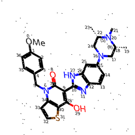 COc1ccc(Cn2c(=O)c(-c3nc4ccc(N5C[C@@H](C)N(C)[C@@H](C)C5)cc4[nH]3)c(O)c3sccc32)cc1